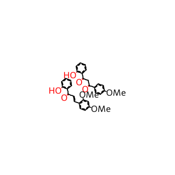 COc1ccc(C(=O)CC(=O)c2ccccc2O)cc1.COc1ccc(C=CC(=O)c2ccccc2O)c(OC)c1